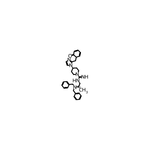 C[C@@H](CNC(=N)N1CCC(n2ccnc2CC2C=CC=CC2=O)CC1)N(Cc1ccccc1)Cc1ccccc1